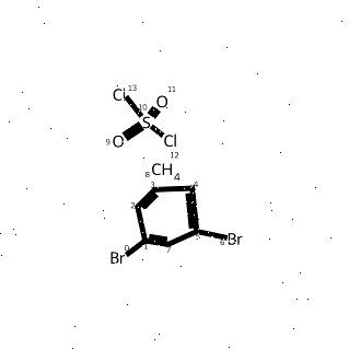 Brc1cccc(Br)c1.C.O=S(=O)(Cl)Cl